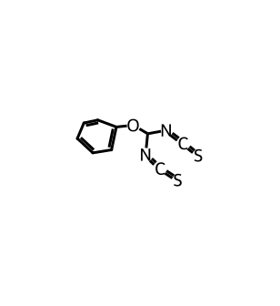 S=C=NC(N=C=S)Oc1ccccc1